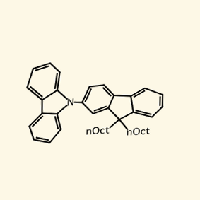 CCCCCCCCC1(CCCCCCCC)c2ccccc2-c2ccc(-n3c4ccccc4c4ccccc43)cc21